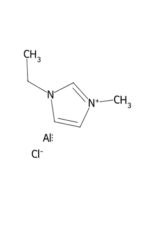 CCn1cc[n+](C)c1.[Al].[Cl-]